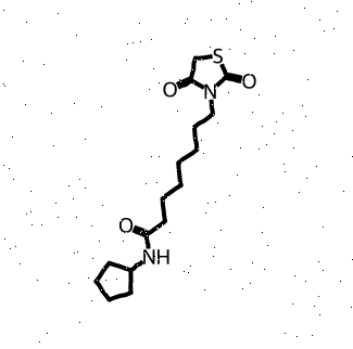 O=C(CCCCCCCN1C(=O)CSC1=O)NC1CCCC1